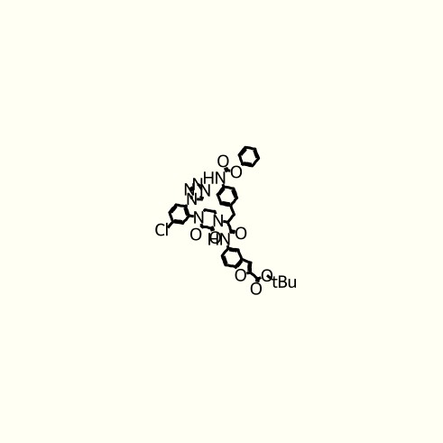 CC(C)(C)OC(=O)c1cc2cc(NC(=O)C(Cc3ccc(NC(=O)Oc4ccccc4)cc3)N3CCN(c4cc(Cl)ccc4-n4cnnn4)C(=O)C3=O)ccc2o1